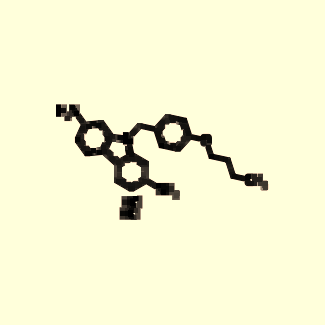 CCCCOc1ccc(Cn2c3cc(N)ccc3c3ccc(N)cc32)cc1.Cl.Cl